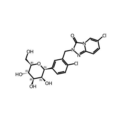 O=c1n(Cc2cc([C@@H]3O[C@H](CO)[C@@H](O)[C@H](O)[C@@H]3O)ccc2Cl)nc2ccc(Cl)cn12